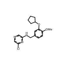 COc1ccc(CNc2cncc(Cl)n2)cc1OC1CCCC1